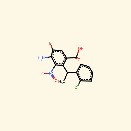 CC(c1ccccc1Cl)c1c(C(=O)O)cc(Br)c(N)c1[N+](=O)[O-]